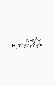 NCC=C(N)Cc1ccccc1